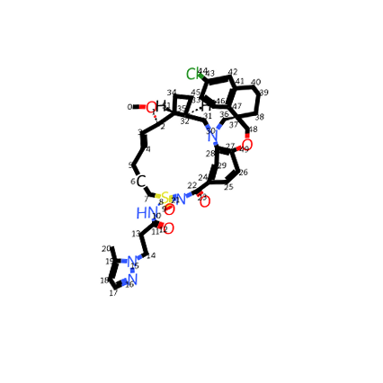 CO[C@H]1/C=C/CCC[S@@](=O)(NC(=O)CCn2nccc2C)=NC(=O)c2ccc3c(c2)N(C[C@@H]2CC[C@H]21)C[C@@]1(CCCc2cc(Cl)ccc21)CO3